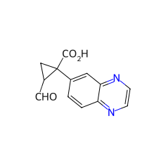 O=CC1CC1(C(=O)O)c1ccc2nccnc2c1